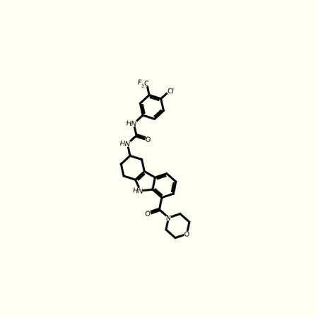 O=C(Nc1ccc(Cl)c(C(F)(F)F)c1)NC1CCc2[nH]c3c(C(=O)N4CCOCC4)cccc3c2C1